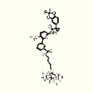 Cc1ccc(NC(=O)C2(c3ccc4c(c3)OC(F)(F)O4)CC2)nc1-c1cccc(C(=O)NCCCCO[Si](C)(C)C(C)(C)C)c1